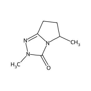 CC1CCc2nn(C)c(=O)n21